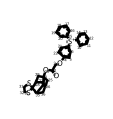 O=C(COc1ccc([S+](c2ccccc2)c2ccccc2)cc1)OC12CC3CC(C1)C1(SCCS1)C(C3)C2